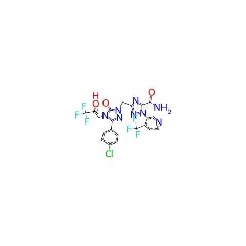 NC(=O)c1nc(Cn2nc(-c3ccc(Cl)cc3)n(C[C@H](O)C(F)(F)F)c2=O)nn1-c1cnccc1C(F)(F)F